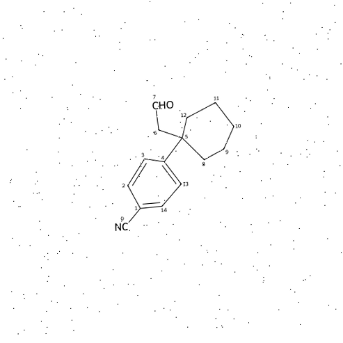 N#Cc1ccc(C2(CC=O)CCCCC2)cc1